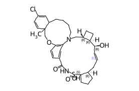 CC12C=CC(Cl)=CC1CCCCN1C[C@@H]3CC[C@H]3[C@@H](O)/C=C/C[C@H]3CCC[C@@H]3S(=O)(=O)NC(=O)c3ccc(c1c3)OC2